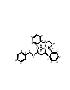 C=C(CC(=O)OCc1ccccc1)[PH]1(O)N(c2ccccc2)CCN1c1ccccc1